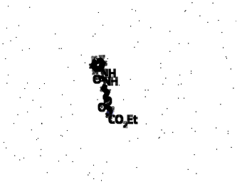 CCOC(=O)/C=C/C(=O)OCCCNC(=O)Nc1ccccc1